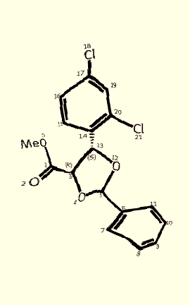 COC(=O)[C@@H]1OC(c2ccccc2)O[C@H]1c1ccc(Cl)cc1Cl